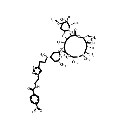 CC[C@H]1OC(=O)[C@H](C)[C@@H](O[C@H]2C[C@@](C)(OC)[C@@H](O)[C@H](C)O2)[C@H](C)[C@@H](O[C@H]2C[C@@H](N(C)CCc3cn(CCNC(=O)c4ccc([N+](=O)[O-])cc4)nn3)C[C@@H](C)O2)[C@](C)(O)C[C@@H](C)CN(C)[C@H](C)[C@@H](O)[C@]1(C)O